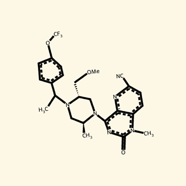 COC[C@@H]1CN(c2nc(=O)n(C)c3ccc(C#N)nc23)[C@@H](C)CN1C(C)c1ccc(OC(F)(F)F)cc1